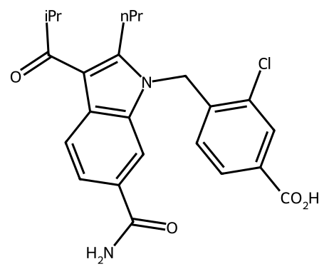 CCCc1c(C(=O)C(C)C)c2ccc(C(N)=O)cc2n1Cc1ccc(C(=O)O)cc1Cl